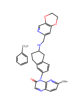 COc1ccc2ncc(=O)n(-c3ccc4c(c3)CCC(NCc3cc5c(cn3)OCCO5)C4)c2n1.O=C(O)c1ccccc1